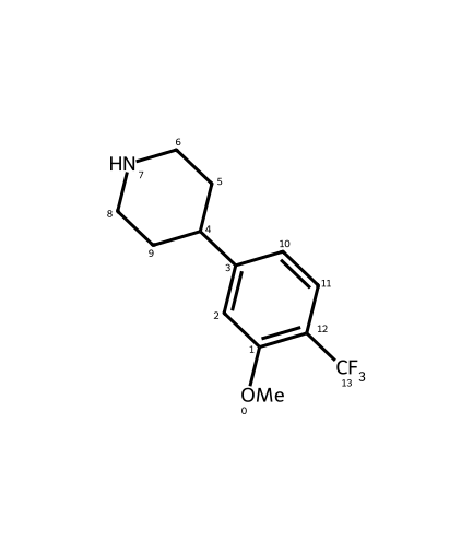 COc1cc(C2CCNCC2)ccc1C(F)(F)F